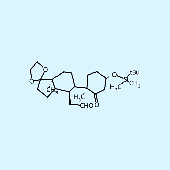 CC(C)(C)[Si](C)(C)O[C@H]1CC[C@](C)(C2CC[C@@]3(C)C(CCC34OCCO4)[C@@H]2CC=O)C(=O)C1